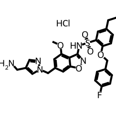 CCc1ccc(OCc2ccc(F)cc2)c(S(=O)(=O)Nc2noc3cc(Cn4cc(CN)cn4)cc(OC)c23)c1.Cl